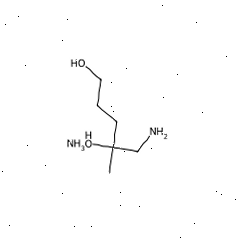 CC(O)(CN)CCCO.N